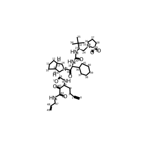 C#CCCC(NC(=O)[C@@H]1[C@H]2CCC[C@H]2CN1C(=O)[C@@H](NC(=O)N[C@H](CN1CCCS1(=O)=O)C(C)(C)C)C1CCCCC1)C(=O)C(=O)NCC=C